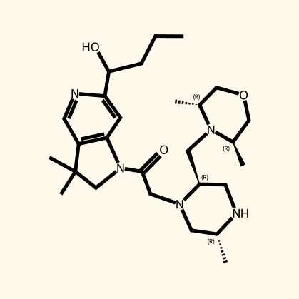 CCCC(O)c1cc2c(cn1)C(C)(C)CN2C(=O)CN1C[C@@H](C)NC[C@@H]1CN1[C@H](C)COC[C@H]1C